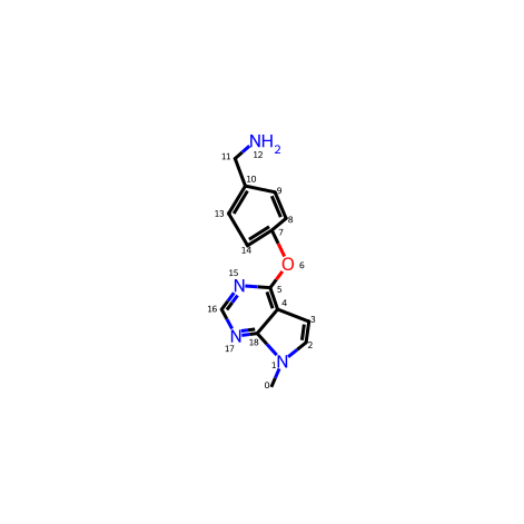 Cn1ccc2c(Oc3ccc(CN)cc3)ncnc21